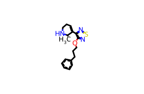 CC1NCCC=C1c1nsnc1OCCCc1ccccc1